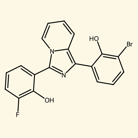 Oc1c(F)cccc1-c1nc(-c2cccc(Br)c2O)c2ccccn12